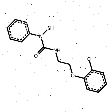 O=C(NCCOc1ccccc1Cl)N(S)c1cc[c]cc1